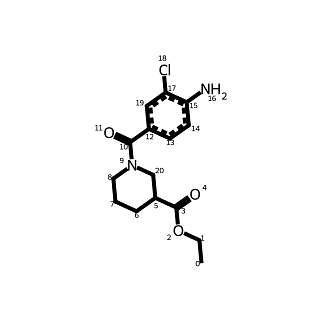 CCOC(=O)C1CCCN(C(=O)c2ccc(N)c(Cl)c2)C1